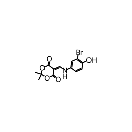 CC1(C)OC(=O)C(=CNc2ccc(O)c(Br)c2)C(=O)O1